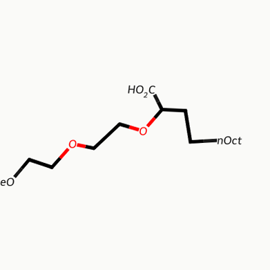 CCCCCCCCCCC(OCCOCCOC)C(=O)O